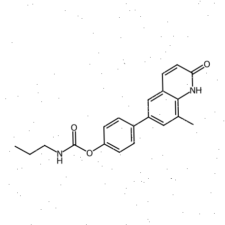 CCCNC(=O)Oc1ccc(-c2cc(C)c3[nH]c(=O)ccc3c2)cc1